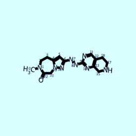 CN1CCc2cc(N=Nc3ncc4c(n3)CNCC4)nn2CC1=O